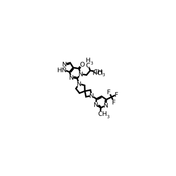 Cc1nc(N2CC3(CCN(c4nc5[nH]ncc5c(=O)n4CC(C)C)C3)C2)cc(C(F)(F)F)n1.Cl